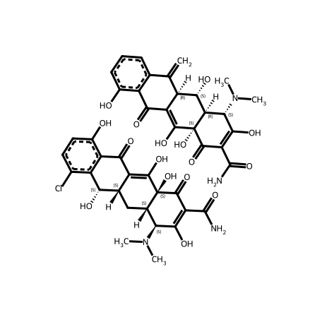 C=C1c2cccc(O)c2C(=O)C2=C(O)[C@]3(O)C(=O)C(C(N)=O)=C(O)[C@@H](N(C)C)[C@@H]3[C@@H](O)[C@H]12.CN(C)[C@@H]1C(O)=C(C(N)=O)C(=O)[C@@]2(O)C(O)=C3C(=O)c4c(O)ccc(Cl)c4[C@@H](O)[C@H]3C[C@@H]12